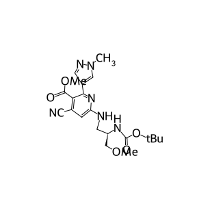 COC[C@@H](CNc1cc(C#N)c(C(=O)OC)c(-c2cnn(C)c2)n1)NC(=O)OC(C)(C)C